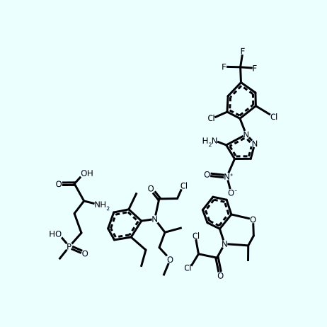 CC1COc2ccccc2N1C(=O)C(Cl)Cl.CCc1cccc(C)c1N(C(=O)CCl)C(C)COC.CP(=O)(O)CCC(N)C(=O)O.Nc1c([N+](=O)[O-])cnn1-c1c(Cl)cc(C(F)(F)F)cc1Cl